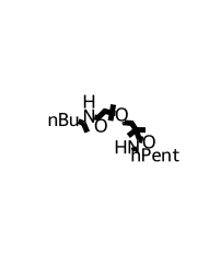 CCCCCNC(=O)C(C)(C)CCOC(C)(C)CC(=O)NC(C)CCCC